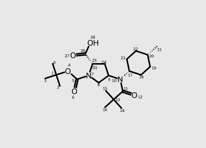 CC(C)(C)OC(=O)N1CC(N(C(=O)C(C)(C)C)[C@H]2CC[C@@H](C)CC2)C[C@H]1C(=O)O